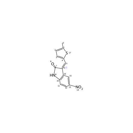 Cc1ccc(/C=C2\C(=O)Nc3ccc([N+](=O)[O-])cc32)s1